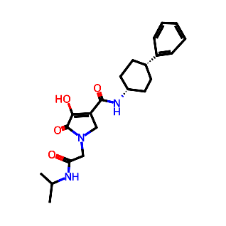 CC(C)NC(=O)CN1CC(C(=O)N[C@H]2CC[C@@H](c3ccccc3)CC2)=C(O)C1=O